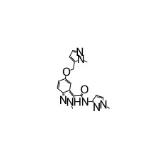 Cn1ccc(NC(=O)c2c3cc(OCc4ccnn4C)ccc3nn2C)n1